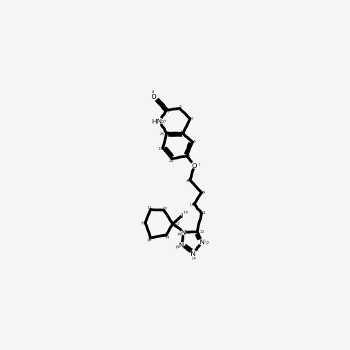 O=C1CCc2cc(OCCCCc3nnnn3C3(I)CCCCC3)ccc2N1